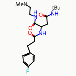 CNCCNC(=O)C(CC(=O)NC(C)(C)C)NC(=O)CCc1ccc(F)cc1